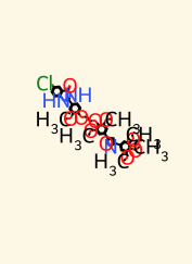 COc1cc(C2NC(=O)c3cc(Cl)ccc3N2)ccc1OCCOc1c(OC)cc(-c2cc(-c3cc(OC)c(OC)c(OC)c3)no2)cc1OC